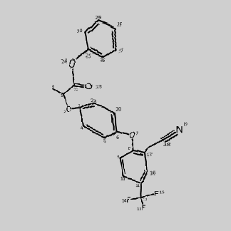 CC(Oc1ccc(Oc2ccc(C(F)(F)F)cc2C#N)cc1)C(=O)Oc1ccccc1